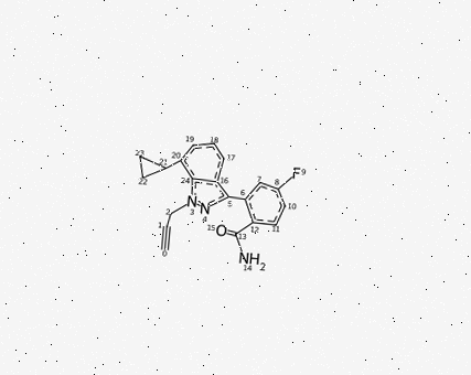 C#CCn1nc(-c2cc(F)ccc2C(N)=O)c2cccc(C3CC3)c21